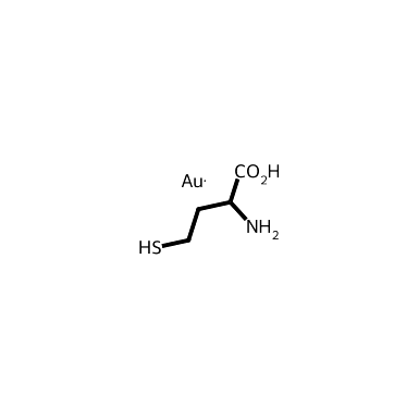 NC(CCS)C(=O)O.[Au]